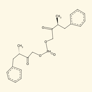 C[C@@H](Cc1ccccc1)C(=O)CO[PH](=O)OCC(=O)[C@@H](C)Cc1ccccc1